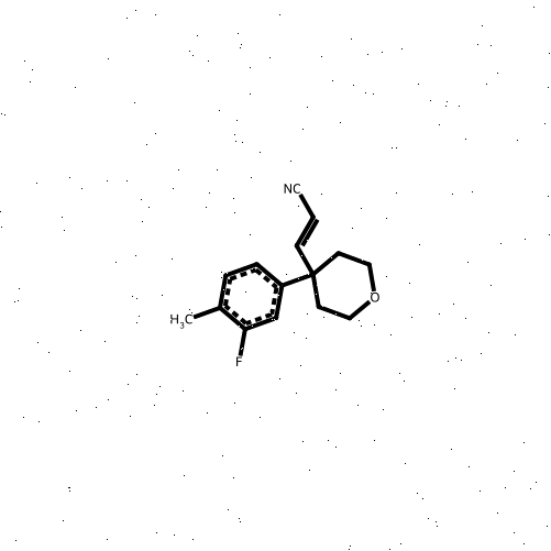 Cc1ccc(C2(C=CC#N)CCOCC2)cc1F